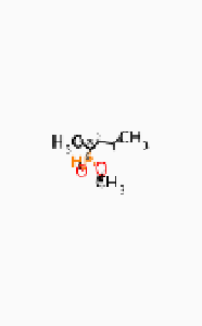 CCCC(C)[PH](=O)OC